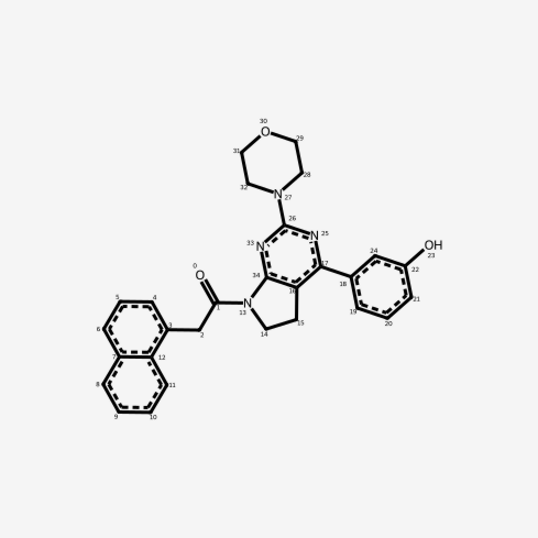 O=C(Cc1cccc2ccccc12)N1CCc2c(-c3cccc(O)c3)nc(N3CCOCC3)nc21